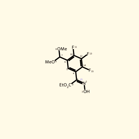 CCOC(=O)/C(=N\O)c1cc(C(OC)OC)c(F)c(F)c1F